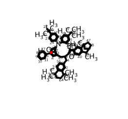 CCc1c2cc(-c3ccccc3)cc1N(c1ccc(C(C)(C)I)cc1)c1ccc(C(C)(C)C)cc1Bc1c(oc3cc4c(cc13)C1(C)CCC(C1)C4C)C(Cc1ccc3c(c1)C(C)(C)CCC3(C)C)C2